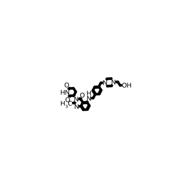 Cc1nc2cccc(NCc3ccc(CN4CCN(CCO)CC4)cc3)c2c(=O)n1C1CCC(=O)NC1=O